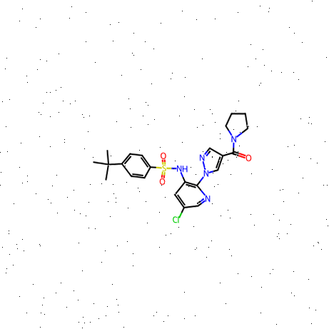 CC(C)(C)c1ccc(S(=O)(=O)Nc2cc(Cl)cnc2-n2cc(C(=O)N3CCCC3)cn2)cc1